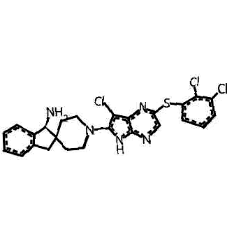 N[C@@H]1c2ccccc2CC12CCN(c1[nH]c3ncc(Sc4cccc(Cl)c4Cl)nc3c1Cl)CC2